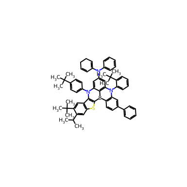 CC(C)c1cc2sc3c(c2cc1C(C)(C)C)N(c1ccc(C(C)(C)C)cc1)c1cc(N(C2=CCCC=C2)c2ccccc2)cc2c1B3c1ccc(-c3ccccc3)cc1N2c1ccccc1C(C)(C)C